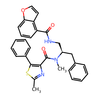 Cc1nc(C(=O)N(C)[C@@H](CNC(=O)c2cccc3occc23)Cc2ccccc2)c(-c2ccccc2)s1